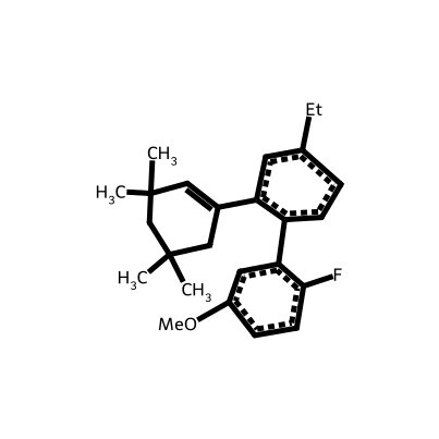 CCc1ccc(-c2cc(OC)ccc2F)c(C2=CC(C)(C)CC(C)(C)C2)c1